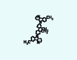 Cc1ccc2c(c1)c1ncccc1n2-c1ccc(-c2ccc(-n3c4ccc(C)cc4c4ncccc43)cc2C)c(C)c1